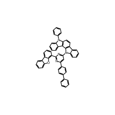 c1ccc(-c2ccc(-c3cc(-n4c5ccccc5c5ccc6c(c7ccccc7n6-c6ccccc6)c54)nc(-c4cccc5c4oc4ccccc45)n3)cc2)cc1